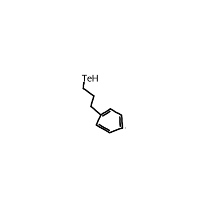 [TeH]CCCc1cc[c]cc1